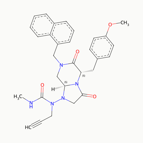 C#CCN(C(=O)NC)N1CC(=O)N2[C@@H](Cc3ccc(OC)cc3)C(=O)N(Cc3cccc4ccccc34)C[C@@H]21